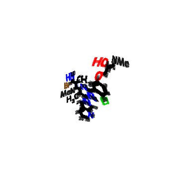 CNC[C@@H](O)COc1ccc(Cl)c(-c2nc(/C(NC)=C(\C)C(=N)Br)c(C)c(N3Cc4cccnc4C3)n2)c1